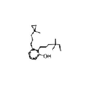 CCC(C)(C)CCCc1c(O)cccc1CCCC1(C)CC1